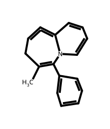 CC1=C(c2ccccc2)N2C=CC=CC2=C=CC1